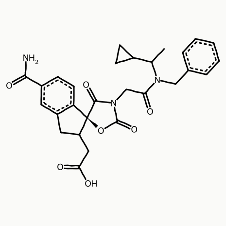 CC(C1CC1)N(Cc1ccccc1)C(=O)CN1C(=O)O[C@]2(C1=O)c1ccc(C(N)=O)cc1CC2CC(=O)O